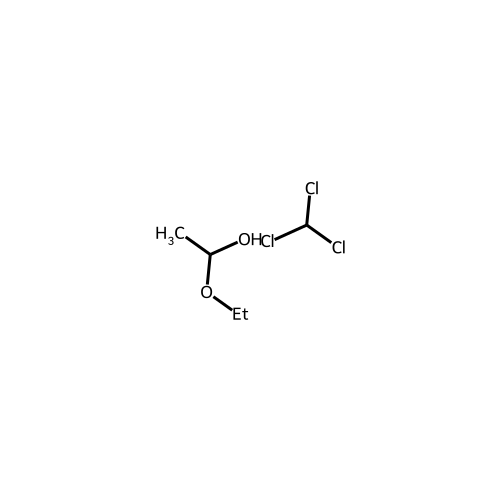 CCOC(C)O.ClC(Cl)Cl